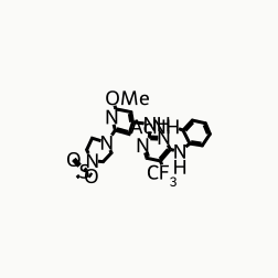 COc1cc(Nc2ncc(C(F)(F)F)c(Nc3ccccc3NC(C)=O)n2)cc(N2CCN(S(C)(=O)=O)CC2)n1